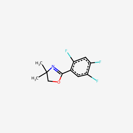 CC1(C)COC(c2cc(F)c(F)cc2F)=N1